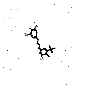 Cc1c(C(C)(C)C)cc(CCCCc2cc(C(C)(C)C)c(C)c(C(C)(C)I)c2)cc1C(C)(C)C